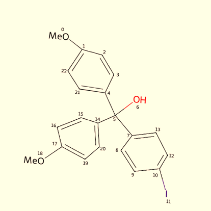 COc1ccc(C(O)(c2ccc(I)cc2)c2ccc(OC)cc2)cc1